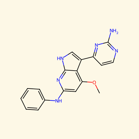 COc1cc(Nc2ccccc2)nc2[nH]cc(-c3ccnc(N)n3)c12